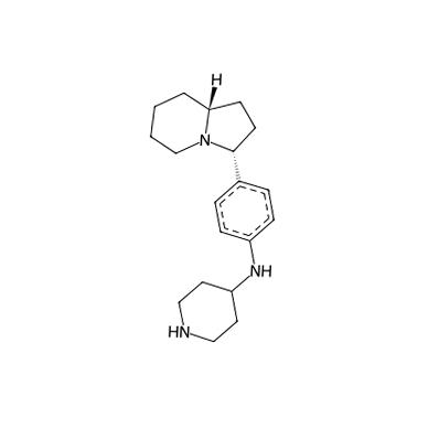 c1cc([C@H]2CC[C@H]3CCCCN32)ccc1NC1CCNCC1